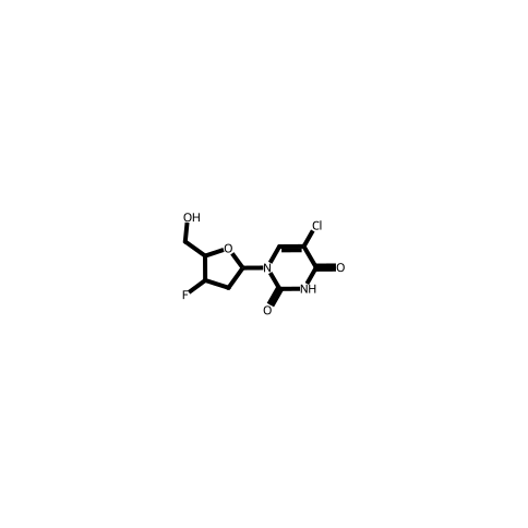 O=c1[nH]c(=O)n(C2CC(F)C(CO)O2)cc1Cl